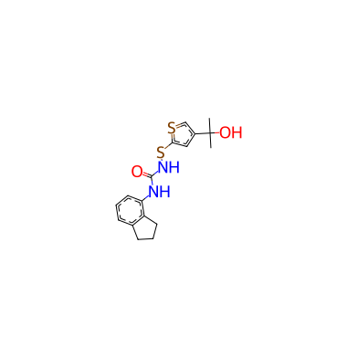 CC(C)(O)c1csc(SNC(=O)Nc2cccc3c2CCC3)c1